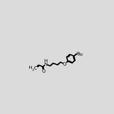 C=CC(=O)NCCCCOc1ccc(C(C)CC)cc1